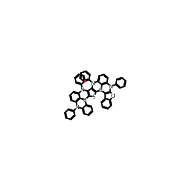 c1ccc(N2c3ccccc3B3c4sc5c(c4N(c4ccccc4)c4cccc2c43)N(c2ccccc2)c2cccc3c2B5c2c(oc4ccccc24)N3c2ccccc2)cc1